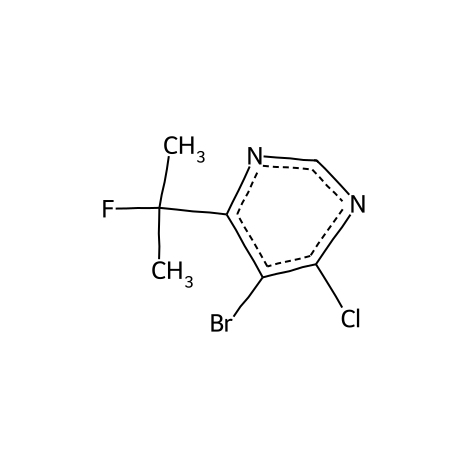 CC(C)(F)c1ncnc(Cl)c1Br